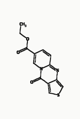 CCOC(=O)c1ccc2nc3cscc3c(=O)n2c1